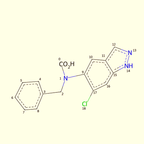 O=C(O)N(Cc1ccccc1)c1cc2cn[nH]c2cc1Cl